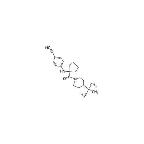 C#Cc1ccc(NC2(C(=O)N3CCC(C(C)(C)C)CC3)CCCC2)cc1